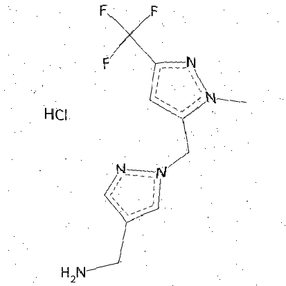 Cl.Cn1nc(C(F)(F)F)cc1Cn1cc(CN)cn1